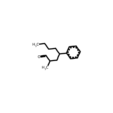 CCCCC(CC(C)C=O)c1ccccc1